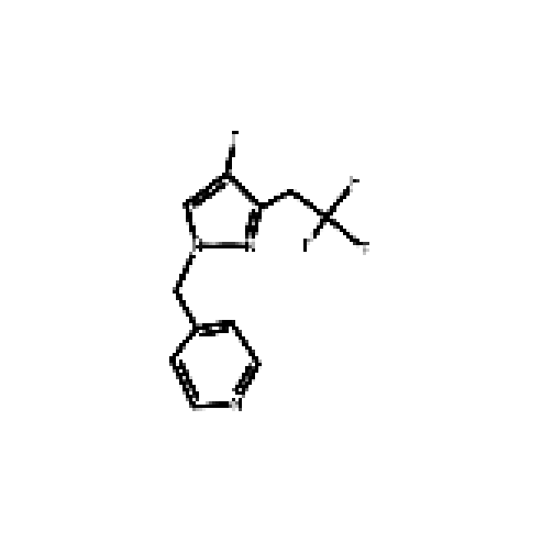 Fc1cn(Cc2ccncc2)nc1CC(F)(F)F